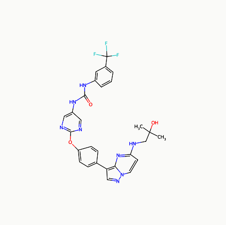 CC(C)(O)CNc1ccn2ncc(-c3ccc(Oc4ncc(NC(=O)Nc5cccc(C(F)(F)F)c5)cn4)cc3)c2n1